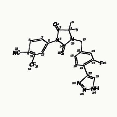 CC1(C)C(=O)N(c2ccc(C#N)c(C(F)(F)F)c2)C(=S)N1Cc1ccc(-c2c[nH]nn2)c(F)c1